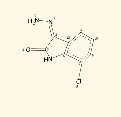 N/N=C1\C(=O)Nc2c(Cl)cccc21